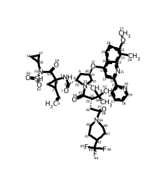 C=CC1CC1(NC(=O)[C@@H]1C[C@@H](Oc2cc(-c3ccccn3)nc3c(C)c(OC)ccc23)CN1C(=O)[C@@H](CC(=O)N1CCC(C(F)(F)F)CC1)C(C)(C)C)C(=O)N(C1CC1)[SH](=O)=O